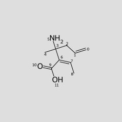 C=CCC(C)(N)C(=CC)C(=O)O